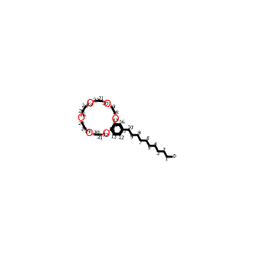 CCCCCCCCCCCc1ccc2c(c1)OCCOCCOCCOCCOCCO2